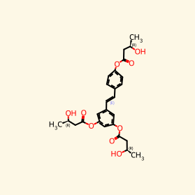 C[C@@H](O)CC(=O)Oc1ccc(/C=C/c2cc(OC(=O)C[C@@H](C)O)cc(OC(=O)C[C@@H](C)O)c2)cc1